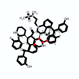 Cc1c(F)cccc1[C@H]1c2c(C(=O)c3cccc(O)c3)cccc2N(CCN(C)S(C)(=O)=O)C(C(=O)[C@H]2[C@H](C3CCCNC3)[C@@H](c3cccc(F)c3C)c3c(C(=O)c4cccc(O)c4)cccc3N2CCN(C)S(C)(=O)=O)[C@@H]1C1CCCNC1